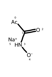 CC(=O)C(=O)N[O-].[Na+]